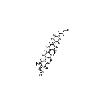 C=CCCc1ccc(-c2ccc(-c3ccc(-c4cc(F)c(OCF)c(F)c4)c(F)c3)c(F)c2)cc1